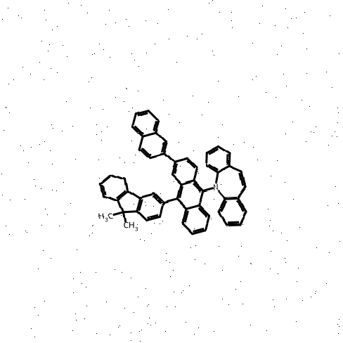 CC1(C)C2=C(CCC=C2)c2cc(-c3c4ccccc4c(N4c5ccccc5C=Cc5ccccc54)c4ccc(-c5ccc6ccccc6c5)cc34)ccc21